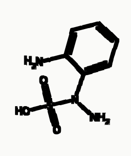 Nc1ccccc1N(N)S(=O)(=O)O